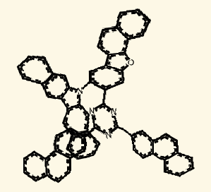 c1ccc2cc3c(cc2c1)c1cc2ccccc2cc1n3-c1cc2c(cc1-c1nc(-c3ccc4c(ccc5ccccc54)c3)nc(-c3ccc4c(ccc5ccccc54)c3)n1)oc1c3ccccc3ccc21